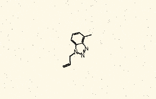 C=CCn1nnc2c(C)cccc21